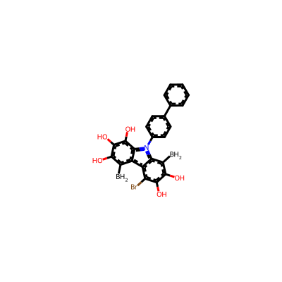 Bc1c(O)c(O)c(O)c2c1c1c(Br)c(O)c(O)c(B)c1n2-c1ccc(-c2ccccc2)cc1